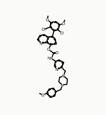 COc1ccc(CN2CCN(Cc3ccc(NC(=O)Oc4ccc(-c5c(Cl)c(OC)cc(OC)c5Cl)c5cccnc45)cn3)CC2)cc1